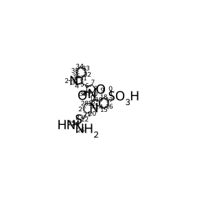 CS(=O)(=O)O.Cn1cc(C2=CC(=O)N(c3c4n(c5ccccc35)CC(CSC(=N)N)CC4)C2=O)c2ccccc21